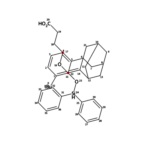 CC(C)(C)c1cccc(C23CC4CC(CC(C4)C2=COCCCC(=O)O)C3)c1O[SiH](c1ccccc1)c1ccccc1